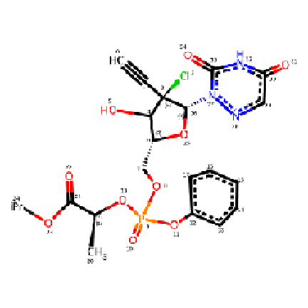 C#C[C@@]1(Cl)C(O)[C@@H](COP(=O)(Oc2ccccc2)O[C@@H](C)C(=O)OC(C)C)O[C@H]1n1ncc(=O)[nH]c1=O